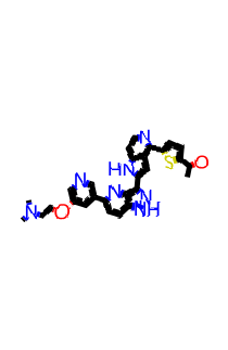 CC(=O)c1ccc(-c2nccc3[nH]c(-c4n[nH]c5ccc(-c6cncc(OCCN(C)C)c6)nc45)cc23)s1